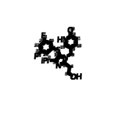 CC(C)c1nc(CCO)n(Cc2ccc(=O)[nH]c2)c1Sc1cc(F)cc(F)c1